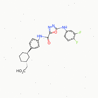 O=C(O)C[C@@H]1CCC[C@@H](c2ccc(NC(=O)c3nnc(Nc4ccc(F)c(F)c4)o3)cc2)C1